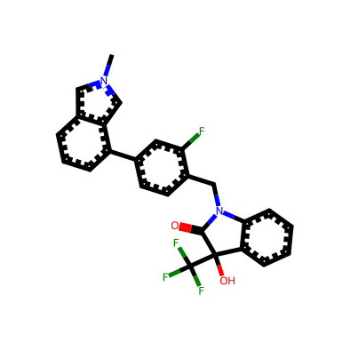 Cn1cc2cccc(-c3ccc(CN4C(=O)C(O)(C(F)(F)F)c5ccccc54)c(F)c3)c2c1